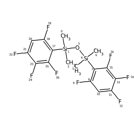 C[Si](C)(O[Si](C)(C)c1c(F)cc(F)c(F)c1F)c1c(F)cc(F)c(F)c1F